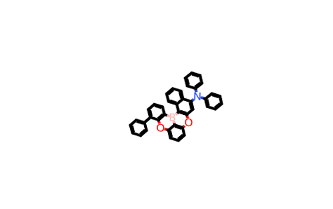 c1ccc(-c2cccc3c2Oc2cccc4c2B3c2c(cc(N(c3ccccc3)c3ccccc3)c3ccccc23)O4)cc1